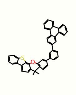 CC1(C)c2ccc(-c3cccc(-c4ccc5c6ccccc6c6ccccc6c5c4)c3)cc2Oc2c1ccc1c2sc2ccccc21